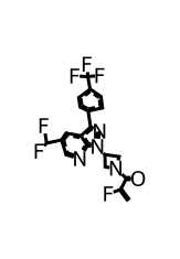 C=C(F)C(=O)N1CC(n2nc(-c3ccc(C(F)(F)F)cc3)c3cc(C(F)F)cnc32)C1